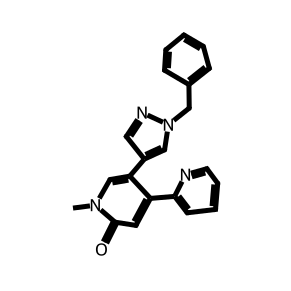 Cn1cc(-c2cnn(Cc3ccccc3)c2)c(-c2ccccn2)cc1=O